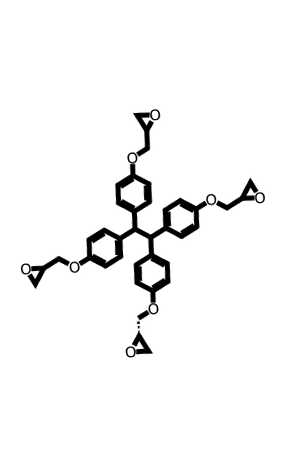 c1cc(C(c2ccc(OCC3CO3)cc2)C(c2ccc(OCC3CO3)cc2)c2ccc(OC[C@@H]3CO3)cc2)ccc1OCC1CO1